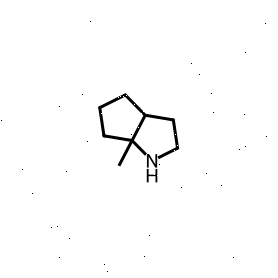 CC12CCCC1CCN2